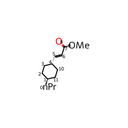 CCC[C@H]1CC[C@H](/C=C/C(=O)OC)CC1